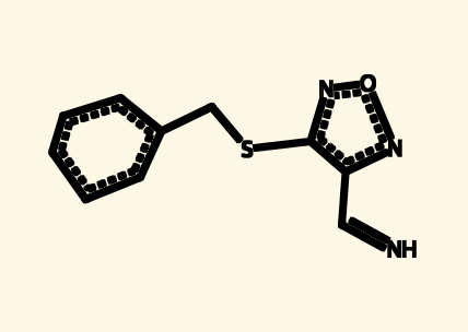 N=Cc1nonc1SCc1ccccc1